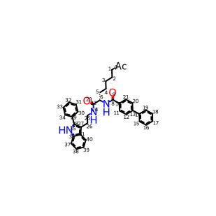 CC(=O)CCCCC[C@H](NC(=O)c1ccc(-c2ccccc2)cc1)C(=O)NCCc1c(-c2ccccc2)[nH]c2ccccc12